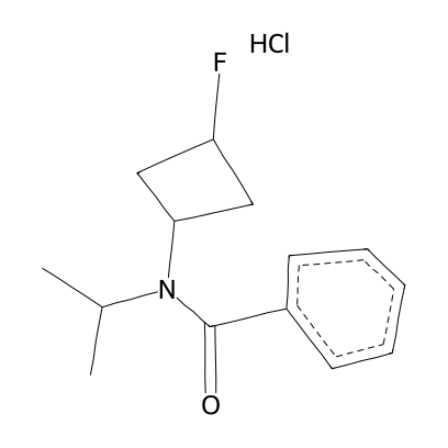 CC(C)N(C(=O)c1ccccc1)C1CC(F)C1.Cl